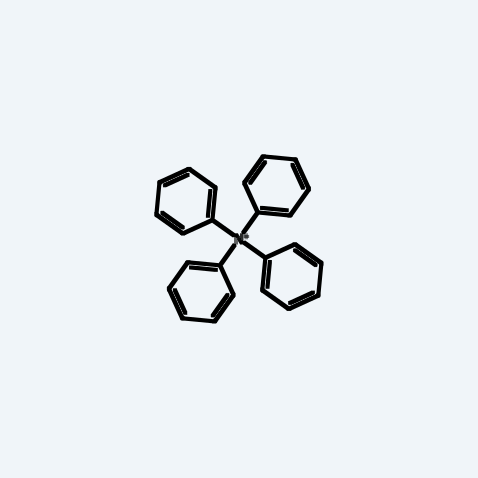 c1ccc([N+](c2ccccc2)(c2ccccc2)c2ccccc2)cc1